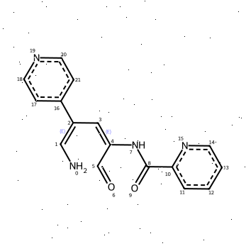 N/C=C(\C=C(/C=O)NC(=O)c1ccccn1)c1ccncc1